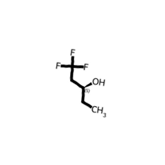 CC[C@H](O)CC(F)(F)F